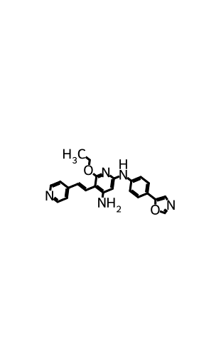 CCOc1nc(Nc2ccc(-c3cnco3)cc2)cc(N)c1/C=C/c1ccncc1